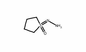 NN=S1(=O)CCCC1